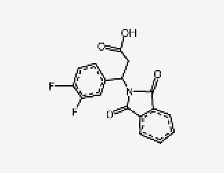 O=C(O)CC(c1ccc(F)c(F)c1)N1C(=O)c2ccccc2C1=O